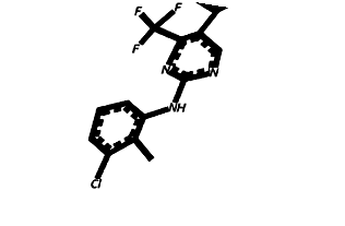 Cc1c(Cl)cccc1Nc1ncc(C(=O)O)c(C(F)(F)F)n1